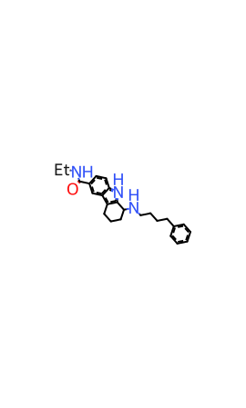 CCNC(=O)c1ccc2[nH]c3c(c2c1)CCCC3NCCCCc1ccccc1